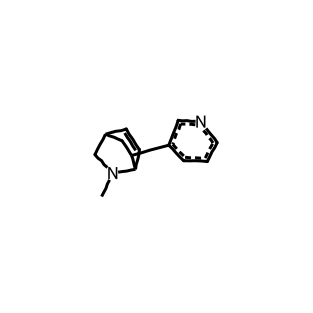 CN1CC2C=CC1C(c1cccnc1)C2